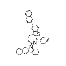 C#C\C=C/C(=C\C)C1=N/C(N2C3=C(C=CCC3)C3=Cc4ccccc4CC32)=C\CCc2c\1sc1ccc(-c3ccc4ccccc4c3)cc21